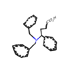 O=C(O)CCC(c1ccccc1)N(Cc1ccccc1)Cc1ccccc1